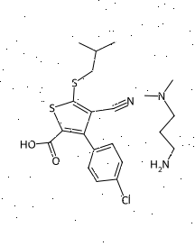 CC(C)CSc1sc(C(=O)O)c(-c2ccc(Cl)cc2)c1C#N.CN(C)CCCN